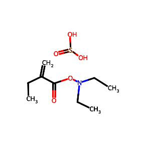 C=C(CC)C(=O)ON(CC)CC.O=S(O)O